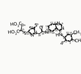 Cc1cc(F)c(Nc2ncnc3ccc(NC(=O)Cn4nc(SC(CC(=O)O)C(=O)O)sc4=S)cc23)cc1C